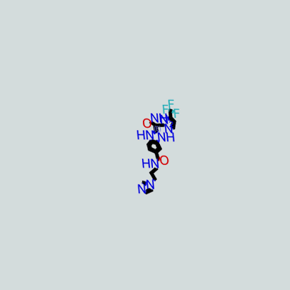 NC(=O)/C(=C1\Nc2ccc(C(=O)NCCCn3ccnc3)cc2N1)c1nccc(C(F)(F)F)n1